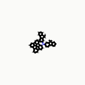 CC1(C)c2ccccc2-c2ccc(N(c3ccc4c(c3)C(C)(C)c3ccccc3-4)c3cccc4c3C3C=CC=CC3C43c4ccccc4-c4ccccc43)cc21